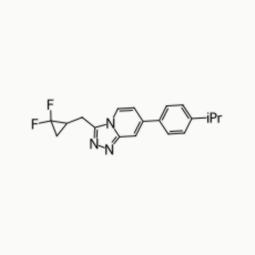 CC(C)c1ccc(-c2ccn3c(CC4CC4(F)F)nnc3c2)cc1